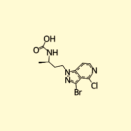 C[C@H](CCn1nc(Br)c2c(Cl)nccc21)NC(=O)O